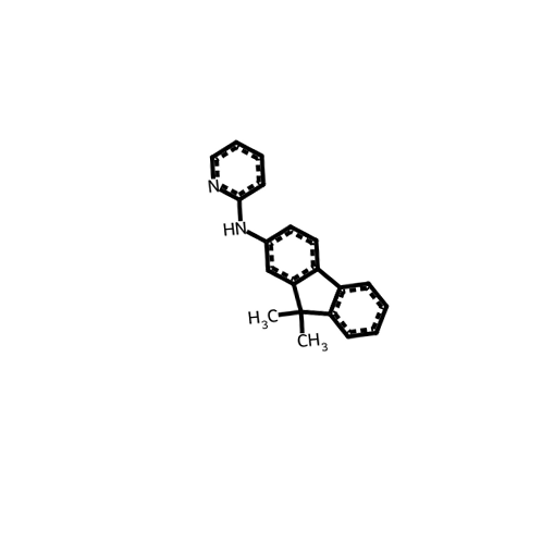 CC1(C)c2ccccc2-c2ccc(Nc3ccccn3)cc21